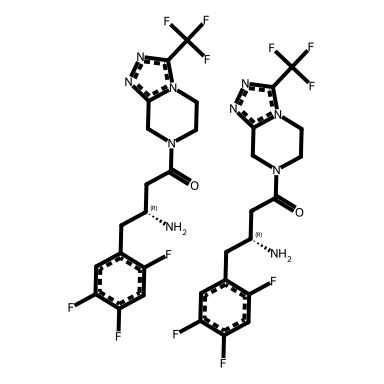 N[C@@H](CC(=O)N1CCn2c(nnc2C(F)(F)F)C1)Cc1cc(F)c(F)cc1F.N[C@@H](CC(=O)N1CCn2c(nnc2C(F)(F)F)C1)Cc1cc(F)c(F)cc1F